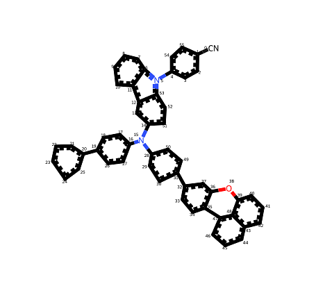 N#Cc1ccc(-n2c3ccccc3c3cc(N(c4ccc(-c5ccccc5)cc4)c4ccc(-c5ccc6c(c5)Oc5cccc7cccc-6c57)cc4)ccc32)cc1